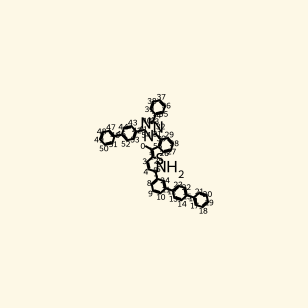 Cc1c(/C=C\C(N)c2cccc(-c3ccc(-c4ccccc4)cc3)c2)sc2cccc(-c3nc(-c4ccccc4)nc(-c4ccc(-c5ccccc5)cc4)n3)c12